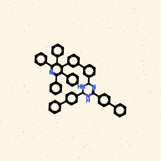 c1ccc(-c2ccc(C3=NC(c4cccc(-c5cccc(-c6c(-c7ccccc7)c(-c7ccccc7)nc(-c7ccccc7)c6-c6ccccc6)c5)c4)NC(c4ccc(-c5ccccc5)cc4)N3)cc2)cc1